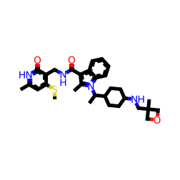 CSc1cc(C)[nH]c(=O)c1CNC(=O)c1c(C)n(C(C)C2CCC(NCC3(C)COC3)CC2)c2ccccc12